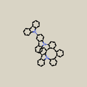 c1ccc2c(c1)c1cccc(-n3c4ccccc4c4cc(-n5c6ccccc6c6ccccc65)ccc43)c1c1cccc3c4ccccc4n(c4ccccc24)c31